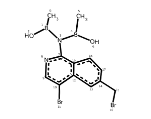 CB(O)N(B(C)O)c1ncc(Br)c2cc(CBr)ccc12